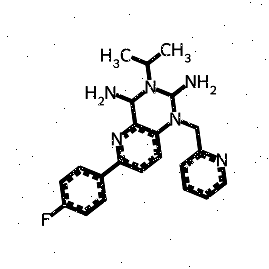 CC(C)N1C(N)c2nc(-c3ccc(F)cc3)ccc2N(Cc2ccccn2)C1N